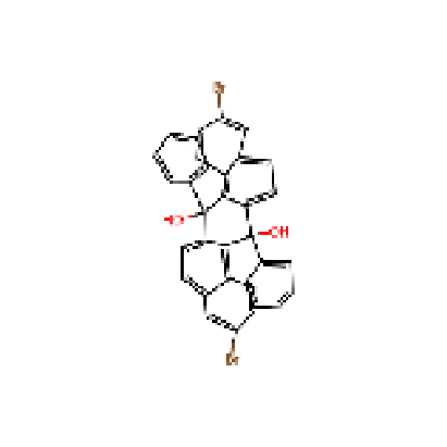 OC1(c2ccccc2)c2ccc3cc(Br)ccc3c2C(O)(c2ccccc2)c2ccc3cc(Br)ccc3c21